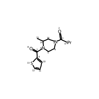 CC(C)C(=O)N1CCN(C(=O)c2cccs2)C(C)C1